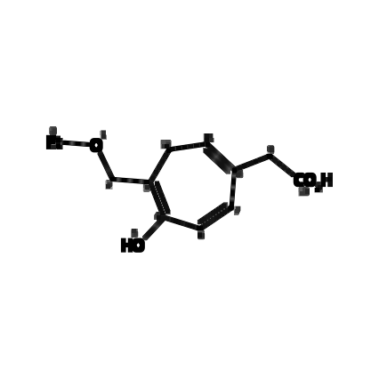 CCOCC1=C(O)C=CC(CC(=O)O)=CC1